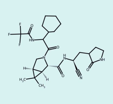 CC1(C)[C@@H]2[C@@H](C(=O)N[C@H](C#N)CC3CCNC3=O)N(C(=O)C(NC(=O)C(F)(F)F)C3CCCCC3)C[C@@H]21